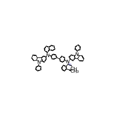 C#Cc1ccccc1/C(=C\C)N(c1ccc(-c2ccc(N(c3ccc4c(c3)C3C=CC=CC3N4c3ccccc3)c3cccc4ccccc34)cc2)cc1)c1ccc2c(c1)C1C=CC=CC1N2c1ccccc1